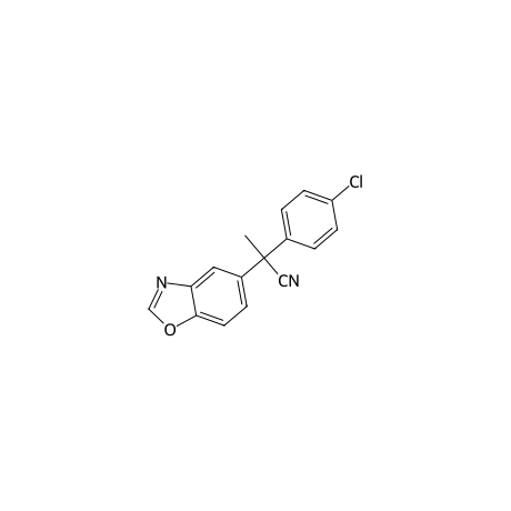 CC(C#N)(c1ccc(Cl)cc1)c1ccc2ocnc2c1